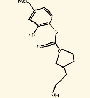 COc1ccc(OC(=O)N2CCC(CCO)C2)c(O)c1